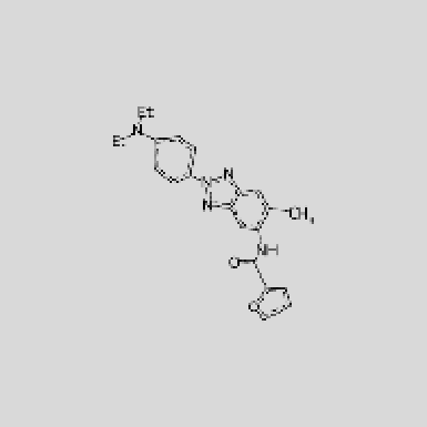 CCN(CC)c1ccc(-n2nc3cc(C)c(NC(=O)c4ccco4)cc3n2)cc1